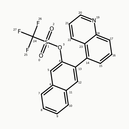 O=S(=O)(Oc1cc2ccccc2cc1-c1cccc2ncccc12)C(F)(F)F